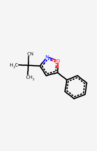 CC(C)(C#N)c1cc(-c2ccccc2)on1